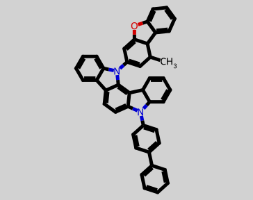 CC1C=C(n2c3ccccc3c3ccc4c(c32)C2C=CC=CC2N4c2ccc(-c3ccccc3)cc2)C=C2Oc3ccccc3C21